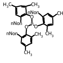 CCCCCCCCCc1cc(C)cc(C)c1OP(Oc1c(C)cc(C)cc1CCCCCCCCC)Oc1c(C)cc(C)cc1CCCCCCCCC